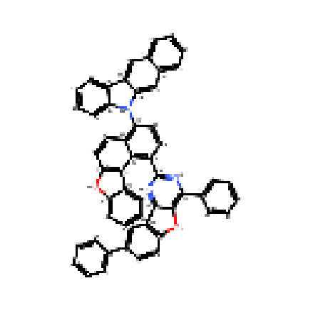 c1ccc(-c2ccc3oc4c(-c5ccccc5)nc(-c5ccc(-n6c7ccccc7c7cc8ccccc8cc76)c6ccc7oc8ccccc8c7c56)nc4c3c2)cc1